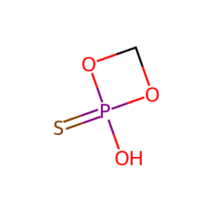 OP1(=S)OCO1